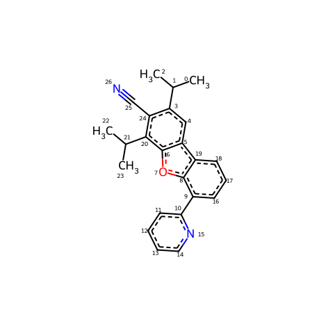 CC(C)c1cc2c(oc3c(-c4ccccn4)cccc32)c(C(C)C)c1C#N